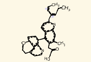 C/C=C\C(=C/CC)c1ccc2c(-c3ccc4c5c(ccnc35)CCO4)c(CC(=O)O)c(C)cc2n1